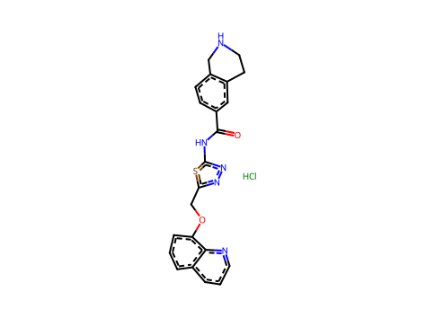 Cl.O=C(Nc1nnc(COc2cccc3cccnc23)s1)c1ccc2c(c1)CCNC2